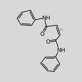 O=C(/C=C\C(=O)Nc1ccccc1)Nc1ccccc1